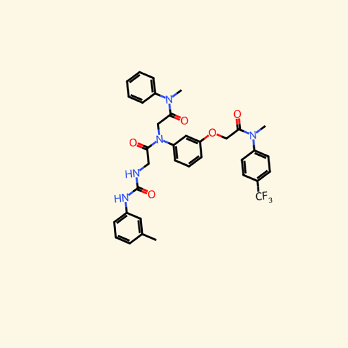 Cc1cccc(NC(=O)NCC(=O)N(CC(=O)N(C)c2ccccc2)c2cccc(OCC(=O)N(C)c3ccc(C(F)(F)F)cc3)c2)c1